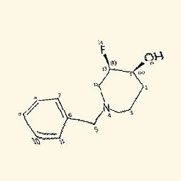 O[C@H]1CCN(Cc2ccccc2)C[C@H]1F